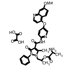 COc1ccc2c(Oc3ccc(NC(=O)c4c(C)n(CC(C)OC(=O)C(C)N)n(-c5ccccc5)c4=O)nc3)ccnc2c1.O=C(O)C(=O)O